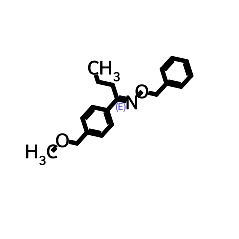 CCC/C(=N\OCc1ccccc1)c1ccc(COC)cc1